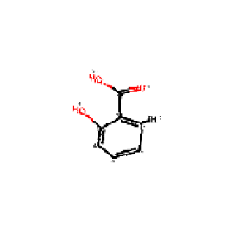 [2H]c1cccc(O)c1C(=O)O